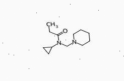 CCC(=O)N(CN1CCCCC1)C1CC1